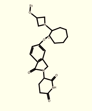 CCOC1CN(C2CCCCC[C@H]2Oc2ccc3c(c2)CN(C2CCC(=O)NC2=O)C3=O)C1